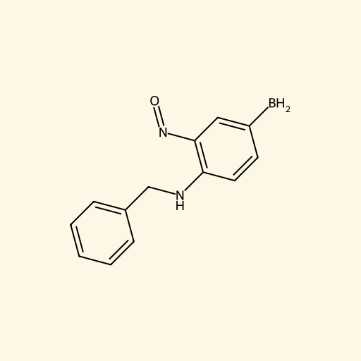 Bc1ccc(NCc2ccccc2)c(N=O)c1